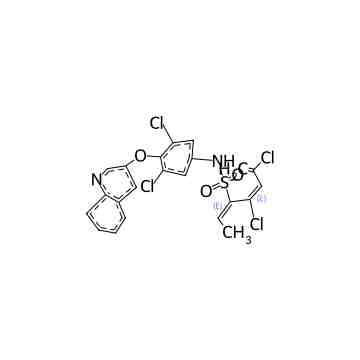 C=C(Cl)/C=C(Cl)\C(=C/C)S(=O)(=O)Nc1cc(Cl)c(Oc2cnc3ccccc3c2)c(Cl)c1